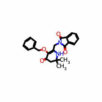 CC1(C)CC(=O)C(OCc2ccccc2)=C(CN2C(=O)c3ccccc3C2=O)N1